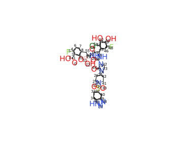 O=C(O)c1c(F)ccc2c1OB(O)[C@@H](NC(=O)C(NC(=O)N1CCN(C3CCN(S(=O)(=O)c4ccc5[nH]nnc5c4)CC3)C1=O)c1cc(F)c(O)c(O)c1Cl)C2